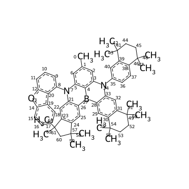 Cc1cc2c3c(c1)N(c1cccc4oc5ccccc5c14)c1cc4c(cc1B3c1cc3c(cc1N2c1ccc2c(c1)C(C)(C)CCC2(C)C)C(C)(C)CCC3(C)C)C(C)(C)CC4(C)C